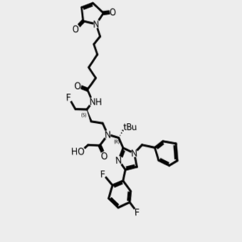 CC(C)(C)[C@H](c1nc(-c2cc(F)ccc2F)cn1Cc1ccccc1)N(CC[C@@H](CF)NC(=O)CCCCCN1C(=O)C=CC1=O)C(=O)CO